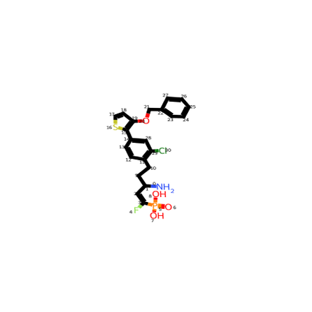 NC(C=C(F)P(=O)(O)O)CCc1ccc(-c2sccc2OCc2ccccc2)cc1Cl